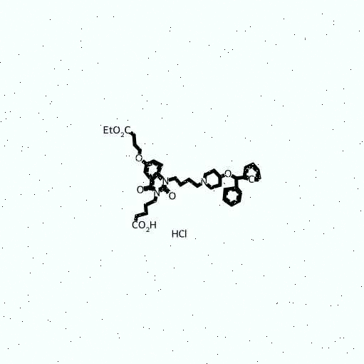 CCOC(=O)CCCOc1ccc2c(c1)c(=O)n(CCCCC(=O)O)c(=O)n2CCCCN1CCC(OC(c2ccccc2)c2ccccc2)CC1.Cl